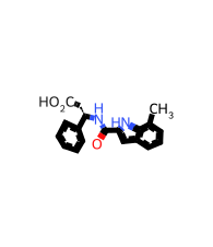 Cc1cccc2cc(C(=O)N[C@@H](CC(=O)O)c3ccccc3)[nH]c12